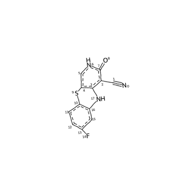 N#Cc1c2c(c[nH]c1=O)Sc1ccc(F)cc1N2